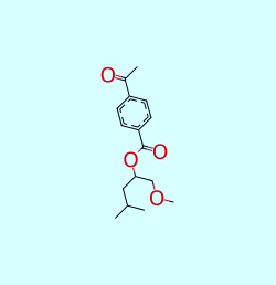 COCC(CC(C)C)OC(=O)c1ccc(C(C)=O)cc1